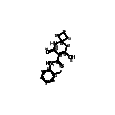 Cc1ccccc1NC(=S)C1=C(O)CC2(CCC2)NC1=O